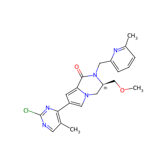 COC[C@H]1Cn2cc(-c3nc(Cl)ncc3C)cc2C(=O)N1Cc1cccc(C)n1